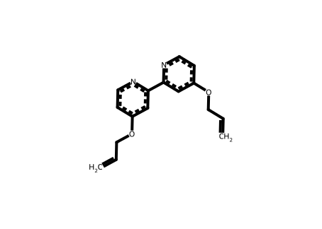 C=CCOc1ccnc(-c2cc(OCC=C)ccn2)c1